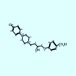 CCOC(=O)c1ccc(OCC(O)CCN2CCN(c3ccc(Cl)cc3)CC2)cc1